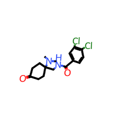 CN(C)C1(CNC(=O)c2ccc(Cl)c(Cl)c2)CCC(=O)CC1